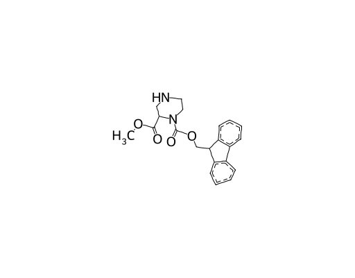 COC(=O)C1CNCCN1C(=O)OCC1c2ccccc2-c2ccccc21